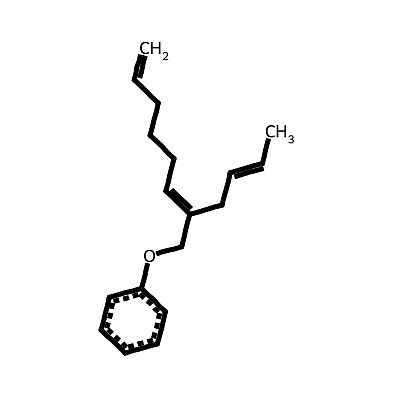 C=CCCCC=C(CC=CC)COc1ccccc1